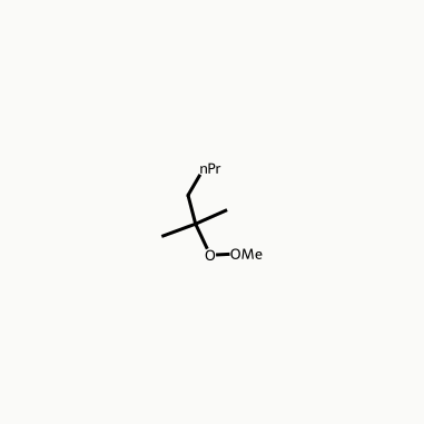 [CH2]OOC(C)(C)CCCC